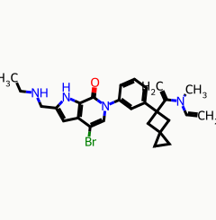 C=CN(C)C(=C)C1(c2cccc(-n3cc(Br)c4cc(CNCC)[nH]c4c3=O)c2)CC2(CC2)C1